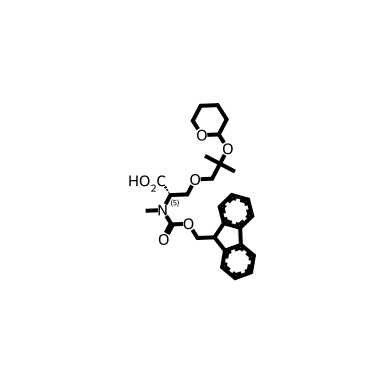 CN(C(=O)OCC1c2ccccc2-c2ccccc21)[C@@H](COCC(C)(C)OC1CCCCO1)C(=O)O